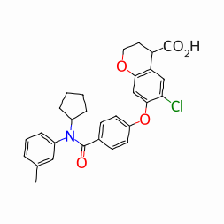 Cc1cccc(N(C(=O)c2ccc(Oc3cc4c(cc3Cl)C(C(=O)O)CCO4)cc2)C2CCCC2)c1